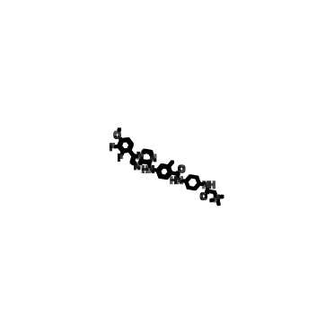 COc1ccc(-c2cnc3c(Nc4ccc(C(=O)NC5CCC(NC(=O)C[N+](C)(C)C)CC5)c(C)c4)nccn23)c(F)c1F